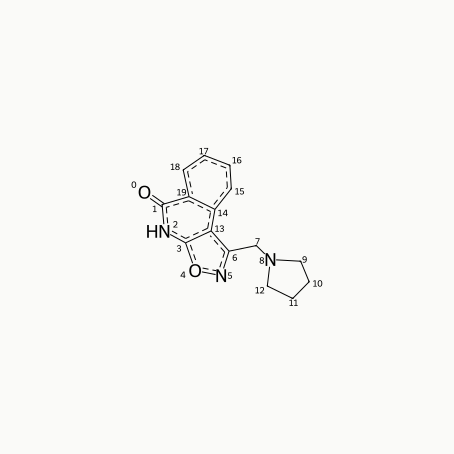 O=c1[nH]c2onc(CN3CCCC3)c2c2ccccc12